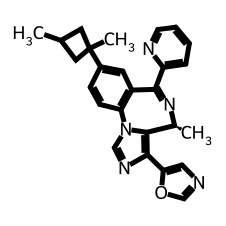 CC1CC(C)(c2ccc3c(c2)C(c2ccccn2)=N[C@H](C)c2c(-c4cnco4)ncn2-3)C1